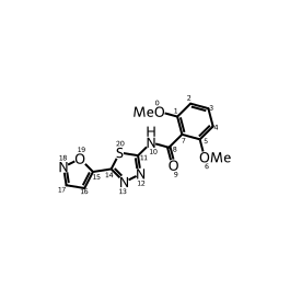 COc1cccc(OC)c1C(=O)Nc1nnc(-c2ccno2)s1